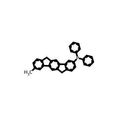 Cc1ccc2c(c1)-c1cc3c(cc1C2)-c1cc(P(c2ccccc2)c2ccccc2)ccc1C3